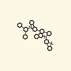 CC1(C)c2ccccc2-c2ccc(N(c3ccc4ccccc4c3)c3ccccc3-c3ccc(-c4ccc5c(c4)c4ccccc4n5-c4cc(-c5ccccc5)cc(-c5ccccc5)c4)cc3)cc21